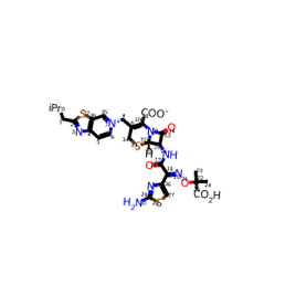 CC(C)Cc1nc2cc[n+](CC3=C(C(=O)[O-])N4C(=O)C(NC(=O)C(=NOC(C)(C)C(=O)O)c5csc(N)n5)[C@@H]4SC3)cc2s1